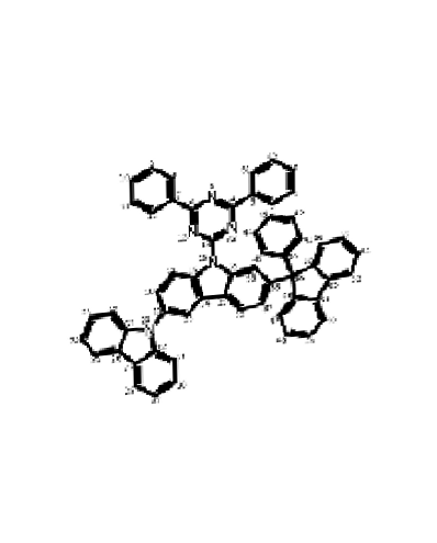 c1ccc(-c2nc(-c3ccccc3)nc(-n3c4ccc(-n5c6ccccc6c6ccccc65)cc4c4ccc(C5(c6ccccc6)c6ccccc6-c6ccccc65)cc43)n2)cc1